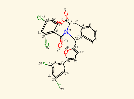 O=C(O)[C@H](Cc1ccccc1)N(Cc1ccc(-c2cc(F)cc(F)c2)o1)C(=O)c1ccc(Cl)cc1Cl